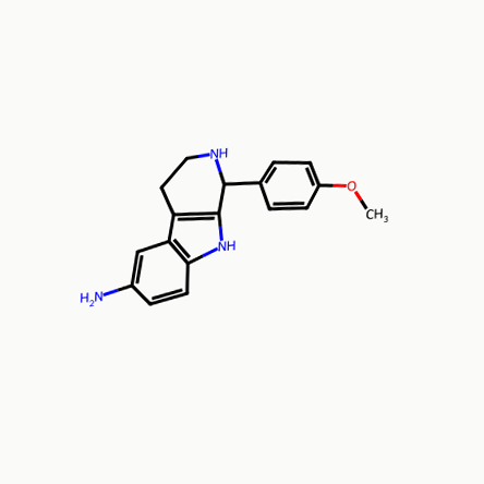 COc1ccc(C2NCCc3c2[nH]c2ccc(N)cc32)cc1